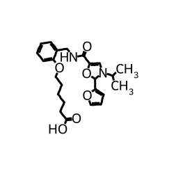 CC(C)N1C=C(C(=O)NCc2ccccc2OCCCCCC(=O)O)OC1c1ccco1